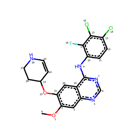 COc1cc2ncnc(Nc3ccc(Cl)c(Cl)c3F)c2cc1OC1C=CNCC1